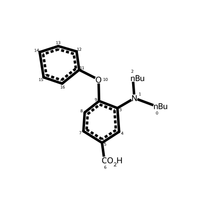 CCCCN(CCCC)c1cc(C(=O)O)ccc1Oc1ccccc1